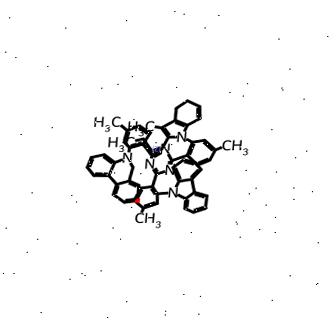 CC/C=C\c1c(C)c2c(n1-c1cc(C)ccc1-c1nc(-c3ccc(C)cc3N3Cc4ccccc4-c4ccccc43)nc(-c3ccc(C)cc3-n3c4ccccc4c4ccccc43)n1)C=CCC2